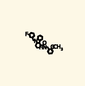 COc1ccccc1CNC(=O)C1CCCc2c1c1ccccc1n2Cc1cccc(F)c1